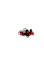 COc1cc2c(cc1OC(C)C)C(c1ccc(Cl)cc1)N(c1ccc(-c3c(C)nn(C(=O)O)c3C)nc1)C(=O)C2